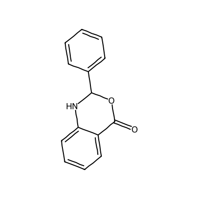 O=C1OC(c2ccccc2)Nc2ccccc21